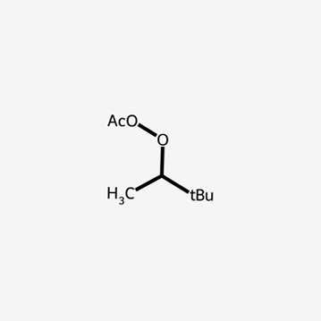 CC(=O)OOC(C)C(C)(C)C